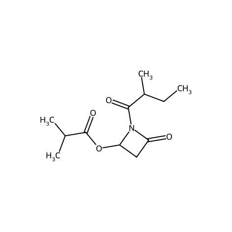 CCC(C)C(=O)N1C(=O)CC1OC(=O)C(C)C